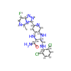 Cc1ncc(F)c2nnc(-c3ccc(N/C(=C/Nc4c(Cl)cccc4Cl)C(=N)C(N)=O)cn3)n12